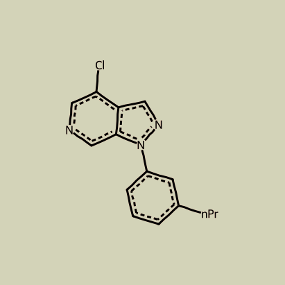 CCCc1cccc(-n2ncc3c(Cl)cncc32)c1